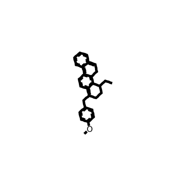 CCC1CCC(Cc2ccc(OC)cc2)=c2ccc3c(c21)CC=c1ccccc1=3